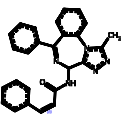 Cc1nnc2n1-c1ccccc1C(c1ccccc1)=NC2NC(=O)/C=C\c1ccccc1